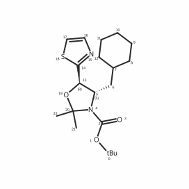 CC(C)(C)OC(=O)N1[C@@H](CC2CCCCC2)[C@H](c2nccs2)OC1(C)C